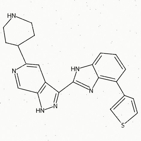 c1cc(-c2ccsc2)c2nc(-c3n[nH]c4cnc(C5CCNCC5)cc34)[nH]c2c1